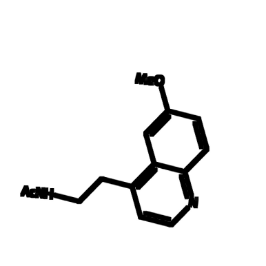 COc1ccc2nccc(CCNC(C)=O)c2c1